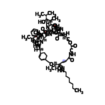 CCCCCCCNC[C@@]1(O)/C=C/C(=O)NCC(=O)OC[C@@H]2NC(=O)[C@@H]([C@@H](C)O)NC(=O)[C@H](Cc3ccccc3)N(C)C(=O)[C@@H](NC(=O)[C@@H]([C@@H](C)CC)NC(=O)[C@@H](NC(=O)[C@H](C)[C@H](O)C(C)C)[C@@H](C)OC2=O)C2=CC=C(CC2)O[C@@H]1C